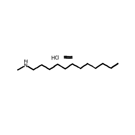 C=C.CCCCCCCCCCCCNC.Cl